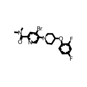 CN(C)C(=O)c1cc(Br)c(N2CCC(Oc3ccc(F)cc3F)CC2)cn1